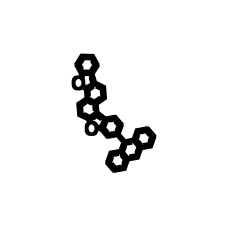 c1ccc2c(-c3ccc4c(c3)oc3ccc5c(ccc6c7ccccc7oc65)c34)c3ccccc3cc2c1